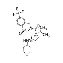 CC(C)[C@]1(C(=O)N2Cc3cc(C(F)(F)F)ccc3[S+]([O-])C2)CC[C@@H](NC2CCOCC2)C1